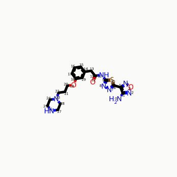 Nc1nonc1-c1nnc(NC(=O)Cc2cccc(OCCCN3CCNCC3)c2)s1